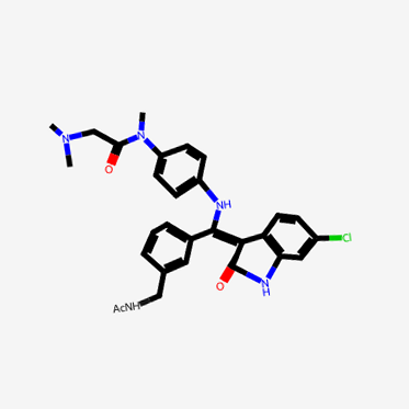 CC(=O)NCc1cccc(C(Nc2ccc(N(C)C(=O)CN(C)C)cc2)=C2C(=O)Nc3cc(Cl)ccc32)c1